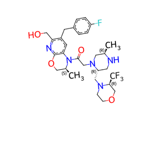 C[C@@H]1CN(CC(=O)N2c3cc(Cc4ccc(F)cc4)c(CO)nc3OC[C@@H]2C)[C@@H](CN2CCOC[C@@H]2C(F)(F)F)CN1